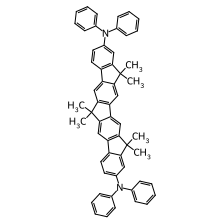 CC1(C)c2cc(N(c3ccccc3)c3ccccc3)ccc2-c2cc3c(cc21)-c1cc2c(cc1C3(C)C)-c1ccc(N(c3ccccc3)c3ccccc3)cc1C2(C)C